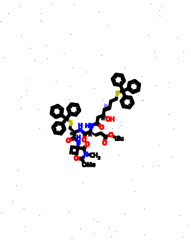 COC(=O)N(C)C(=O)C1(NC(=O)[C@@H](CSC(c2ccccc2)(c2ccccc2)c2ccccc2)NC(=O)[C@@H](CCC(=O)OC(C)(C)C)NC(=O)C[C@H](O)/C=C/CCSC(c2ccccc2)(c2ccccc2)c2ccccc2)CCC1